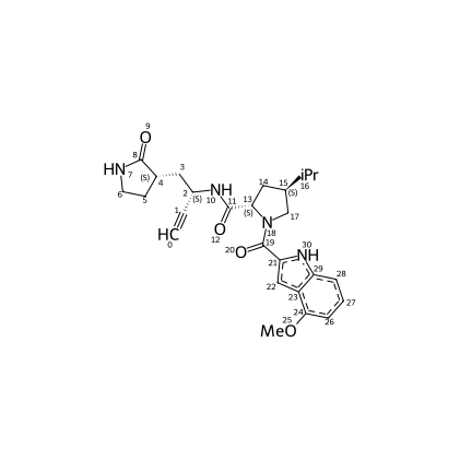 C#C[C@H](C[C@@H]1CCNC1=O)NC(=O)[C@@H]1C[C@@H](C(C)C)CN1C(=O)c1cc2c(OC)cccc2[nH]1